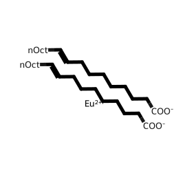 CCCCCCCCC=CCCCCCCCC(=O)[O-].CCCCCCCCC=CCCCCCCCC(=O)[O-].[Eu+2]